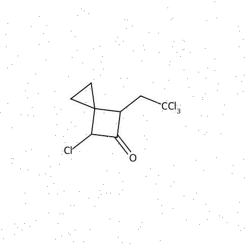 O=C1C(Cl)C2(CC2)C1CC(Cl)(Cl)Cl